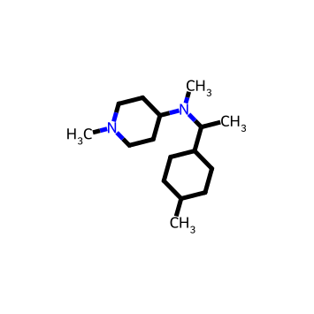 CC1CCC(C(C)N(C)C2CCN(C)CC2)CC1